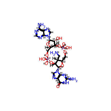 NC[C@H]1[C@H]2OP(=O)(O)OC[C@H]3O[C@@H](n4cnc5c(N)ncnc54)[C@H](O)[C@@H]3OP(=O)(O)OC[C@H]1O[C@H]2n1cnc2c(=O)[nH]c(N)nc21